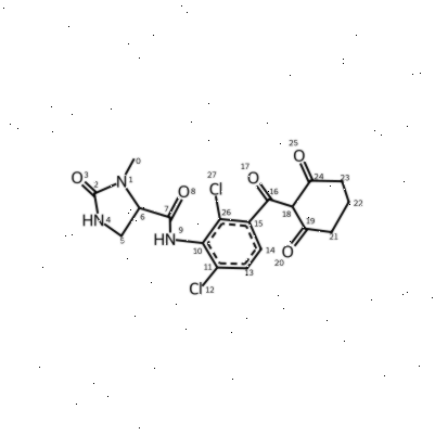 CN1C(=O)NCC1C(=O)Nc1c(Cl)ccc(C(=O)C2C(=O)CCCC2=O)c1Cl